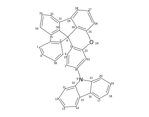 c1ccc(C23c4ccc(-n5c6ccccc6c6ccccc65)cc4Oc4cccc(c42)-c2ccccc23)cc1